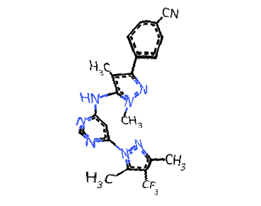 Cc1nn(-c2cc(Nc3c(C)c(-c4ccc(C#N)cc4)nn3C)ncn2)c(C)c1C(F)(F)F